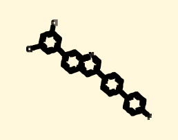 Fc1ccc(-c2ccc(-c3cnc4cc(-c5cc(Cl)cc(Cl)c5)ccc4c3)cc2)cc1